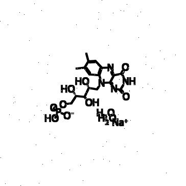 Cc1cc2nc3c(=O)[nH]c(=O)nc-3n(C[C@@H](O)[C@@H](O)[C@@H](O)COP(=O)([O-])O)c2cc1C.O.O.[Na+]